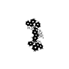 CCC(C)(c1ccc2c(c1)C(C)(C)c1cc3c(cc1-2)CC3(C)N(c1ccccc1)c1cc2ccccc2c2ccccc12)N(c1ccccc1)c1cc2ccccc2c2ccccc12